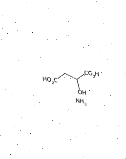 N.O=C(O)CC(O)C(=O)O